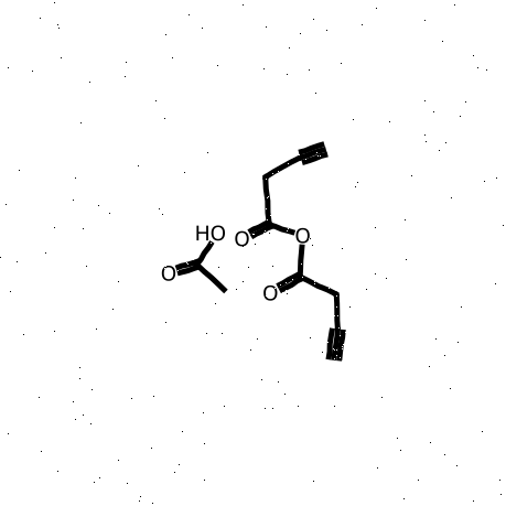 C#CCC(=O)OC(=O)CC#C.CC(=O)O